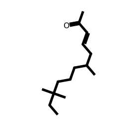 CCC(C)(C)CCCC(C)C/C=C/C(C)=O